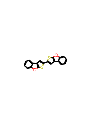 c1ccc2c(c1)oc1sc(-c3cc4c(oc5ccccc54)s3)cc12